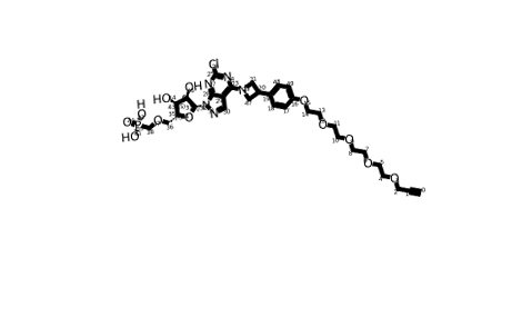 C#CCOCCOCCOCCOCCOc1ccc(C2CN(c3nc(Cl)nc4c3cnn4[C@@H]3O[C@H](COCP(=O)(O)O)[C@@H](O)[C@H]3O)C2)cc1